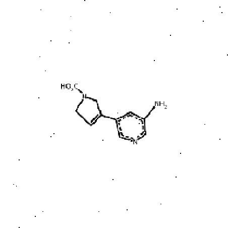 Nc1cncc(C2=CCN(C(=O)O)C2)c1